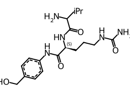 CC(C)C(N)C(=O)N[C@@H](CCCNC(N)=O)C(=O)Nc1ccc(CO)cc1